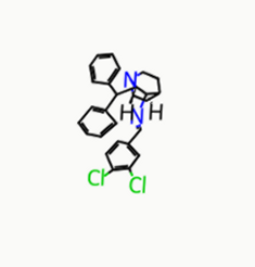 Clc1ccc(/C=N/[C@@H]2C3CCN(CC3)[C@H]2C(c2ccccc2)c2ccccc2)cc1Cl